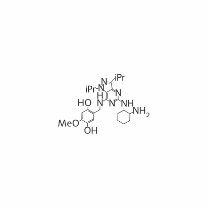 COc1cc(O)c(CNc2nc(NC3CCCCC3N)nc3c(C(C)C)nn(C(C)C)c23)cc1O